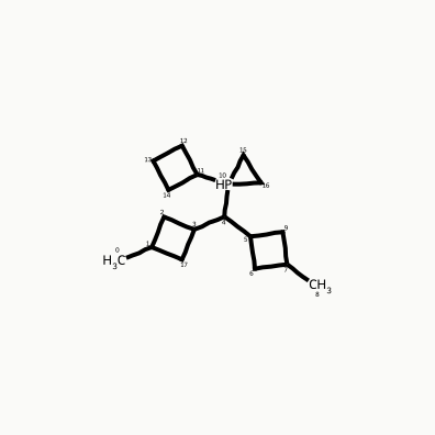 CC1CC(C(C2CC(C)C2)[PH]2(C3CCC3)CC2)C1